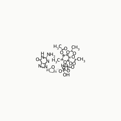 CC(=O)O[C@@H]1[C@H](OC(C)=O)[C@@H](OP(=O)(O)OP(=O)(O)OC[C@@H]2CC[C@H](n3cnc4c(=O)[nH]c(N)nc43)O2)O[C@H](C)[C@H]1OC(C)=O